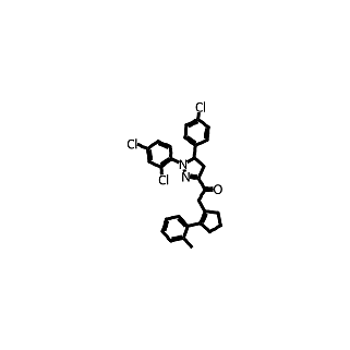 Cc1ccccc1C1=C(CC(=O)C2=NN(c3ccc(Cl)cc3Cl)C(c3ccc(Cl)cc3)C2)CCC1